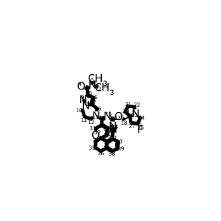 CN(C)C(=O)c1cc2n(n1)CCCN(c1nc(OC[C@@]34CCCN3C[C@H](F)C4)nc3c1COC1(CCCc4cccc(C#N)c41)C3)C2